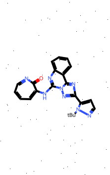 CC(C)(C)n1nccc1-c1nc2c3ccccc3nc(Nc3ccccnc3=O)n2n1